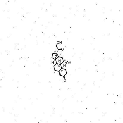 C[C@]12C[C@@H](O)[C@H]3[C@@H](CCC4=CC(=O)CC[C@@H]43)[C@@H]1CC[C@@H]2C(=O)CO